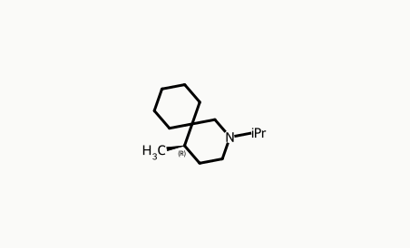 CC(C)N1CC[C@@H](C)C2(CCCCC2)C1